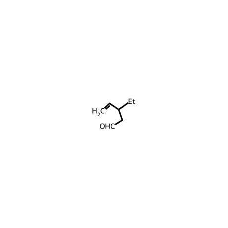 C=CC(CC)CC=O